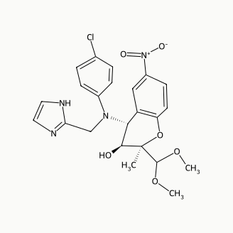 COC(OC)[C@]1(C)Oc2ccc([N+](=O)[O-])cc2[C@@H](N(Cc2ncc[nH]2)c2ccc(Cl)cc2)[C@@H]1O